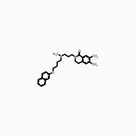 Cc1cc2c(cc1C)C(=O)N(CCCN(C)CCCCOc1ccc3ccccc3c1)CC2